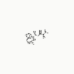 C=C(C)C(=O)NCC(=O)OC1C2CC3C(O2)C1OS3(=O)=O